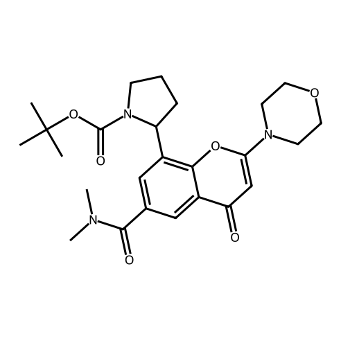 CN(C)C(=O)c1cc(C2CCCN2C(=O)OC(C)(C)C)c2oc(N3CCOCC3)cc(=O)c2c1